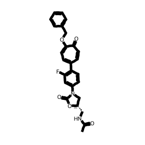 CC(=O)NC[C@H]1CN(c2ccc(-c3ccc(OCc4ccccc4)c(=O)cc3)c(F)c2)C(=O)O1